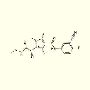 CCNC(=O)C(=O)c1c(F)c(C(=O)Nc2ccc(F)c(C#N)c2)c(C)n1C